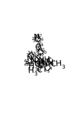 CC(C)c1cccc(C(C)C)c1NC(=O)Nc1c(-c2cccc(OCc3ccncc3)c2)c2cccnc2n(CC2CC2)c1=O